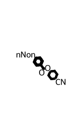 CCCCCCCCCc1ccc(C(=O)OC2CCC(C#N)CC2)cc1